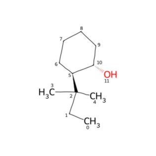 CCC(C)(C)[C@H]1CCCC[C@@H]1O